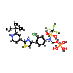 CC(C)(C)c1cc(-c2nc(-c3ccc(N(COP(=O)(O)O)S(=O)(=O)C(F)(F)F)cc3Cl)cs2)ccn1